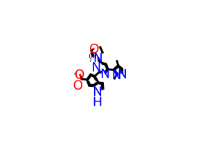 COC(=O)c1cc(-c2nc(-c3c(C)cnn3C)cc(N3CCOC[C@H]3C)n2)c2cc[nH]c2c1